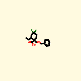 CCC1CC(F)(F)CCC1(COCc1ccccc1)C(=O)O